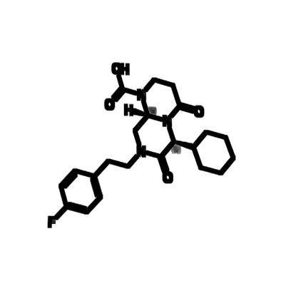 O=C1[C@H](C2CCCCC2)N2C(=O)CCN(C(=O)O)[C@H]2CN1CCc1ccc(F)cc1